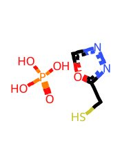 O=P(O)(O)O.SCc1nnco1